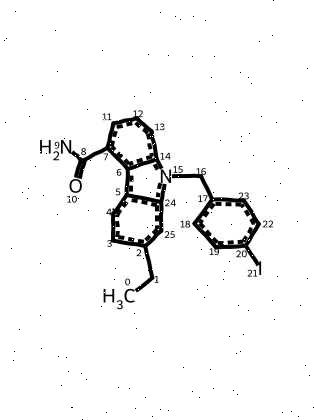 CCc1c[c]c2c3c(C(N)=O)cccc3n(Cc3ccc(I)cc3)c2c1